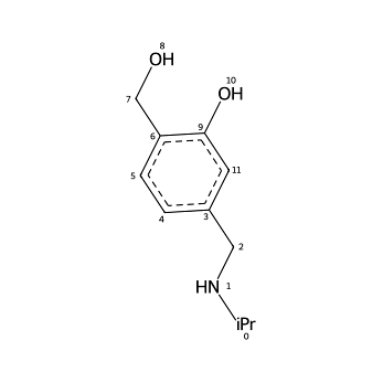 CC(C)NCc1ccc(CO)c(O)c1